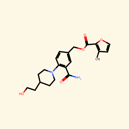 N#Cc1ccoc1C(=O)OCc1ccc(N2CCC(CCO)CC2)c(C(N)=O)c1